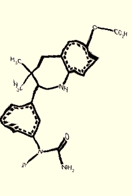 CC(C)N(C(N)=O)c1cccc(C2Nc3ccc(OC(=O)O)cc3CC2(C)C)c1